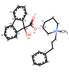 C[N+]1(CCCc2ccccc2)CCC[C@@H](OC(=O)C2(O)c3ccccc3-c3ccccc32)C1